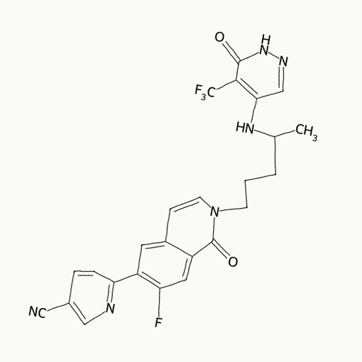 CC(CCCn1ccc2cc(-c3ccc(C#N)cn3)c(F)cc2c1=O)Nc1cn[nH]c(=O)c1C(F)(F)F